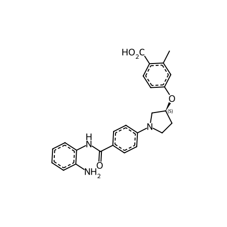 Cc1cc(O[C@H]2CCN(c3ccc(C(=O)Nc4ccccc4N)cc3)C2)ccc1C(=O)O